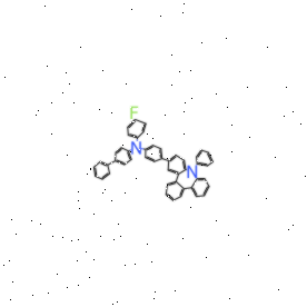 Fc1ccc(N(c2ccc(-c3ccccc3)cc2)c2ccc(-c3ccc4c(c3)-c3ccccc3-c3ccccc3N4c3ccccc3)cc2)cc1